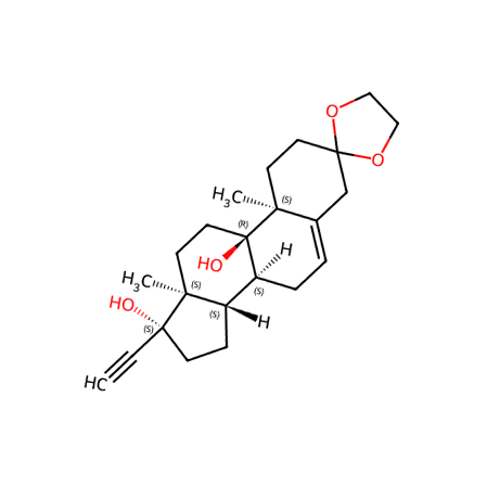 C#C[C@]1(O)CC[C@H]2[C@@H]3CC=C4CC5(CC[C@]4(C)[C@@]3(O)CC[C@@]21C)OCCO5